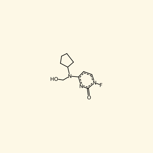 O=c1nc(N(CO)C2CCCC2)ccn1F